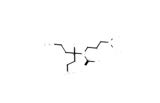 CCCCCCCCCCCCC(CC)(CCCCCCCCCCCC)N(CCCN(C)C)C(=O)C(F)(F)F